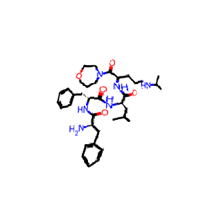 CC(C)C[C@@H](NC(=O)[C@@H](Cc1ccccc1)NC(=O)[C@H](N)Cc1ccccc1)C(=O)NC(CCCNC(C)C)C(=O)N1CCCOCC1